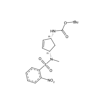 CN([C@@H]1C=C[C@H](NC(=O)OC(C)(C)C)C1)S(=O)(=O)c1ccccc1[N+](=O)[O-]